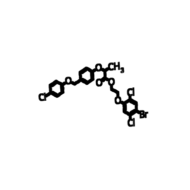 CC(Oc1ccc(COc2ccc(Cl)cc2)cc1)C(=O)OCCOc1cc(Cl)c(Br)cc1Cl